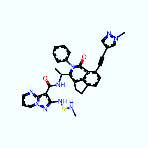 CNSNc1nn2cccnc2c1C(=O)NC(C)c1c2c3c(ccc(C#Cc4cnn(C)c4)c3c(=O)n1-c1ccccc1)CC2